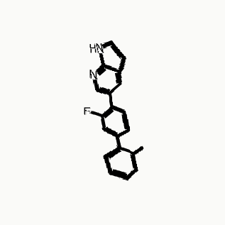 Cc1ccccc1-c1ccc(-c2cnc3[nH]ccc3c2)c(F)c1